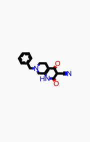 N#CC1C(=O)NC2=C(CCN(Cc3ccccc3)C2)C1=O